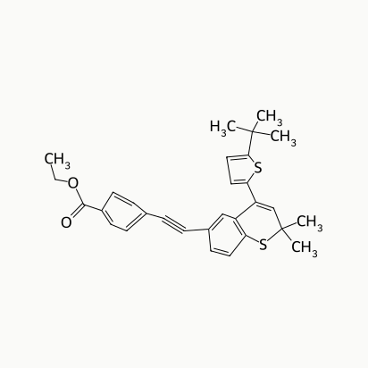 CCOC(=O)c1ccc(C#Cc2ccc3c(c2)C(c2ccc(C(C)(C)C)s2)=CC(C)(C)S3)cc1